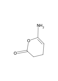 NC1=CCCC(=O)O1